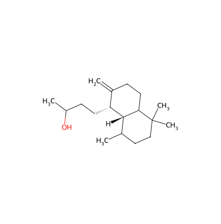 C=C1CCC2[C@H](C(C)CCC2(C)C)[C@@H]1CCC(C)O